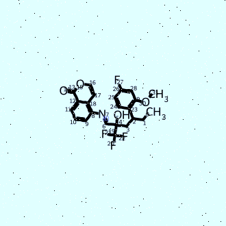 CCC(CC(O)(/C=N/c1cccc2c(=O)occc12)C(F)(F)F)c1ccc(F)cc1OC